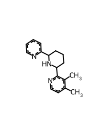 Cc1ccnc(C2CCCC(c3ccccn3)N2)c1C